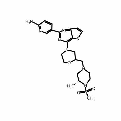 C[C@@H]1CN(CC2CN(c3nc(-c4ccc(N)nc4)nc4ccsc34)CCO2)CCN1S(C)(=O)=O